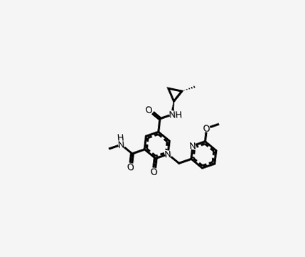 CNC(=O)c1cc(C(=O)N[C@H]2C[C@@H]2C)cn(Cc2cccc(OC)n2)c1=O